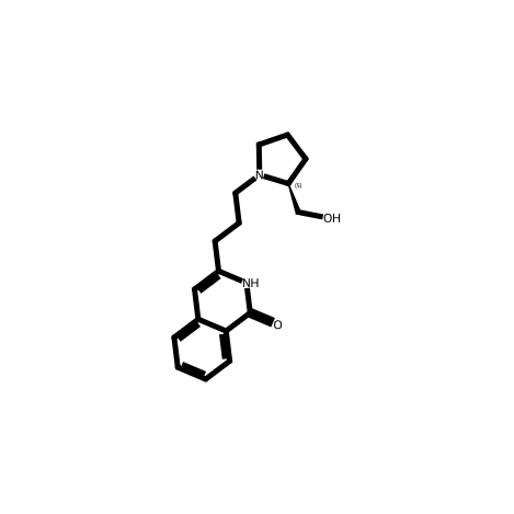 O=c1[nH]c(CCCN2CCC[C@H]2CO)cc2ccccc12